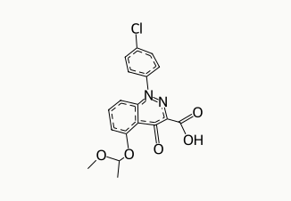 COC(C)Oc1cccc2c1c(=O)c(C(=O)O)nn2-c1ccc(Cl)cc1